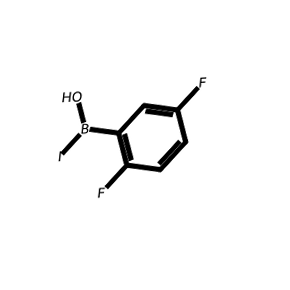 OB(I)c1cc(F)ccc1F